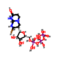 O=c1ccn2cc([C@@H]3O[C@H](COP(=O)(O)OP(=O)(O)OP(=O)(O)O)C(O)[C@@H]3O)c(=S)nc2[nH]1